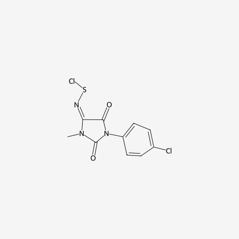 CN1C(=O)N(c2ccc(Cl)cc2)C(=O)C1=NSCl